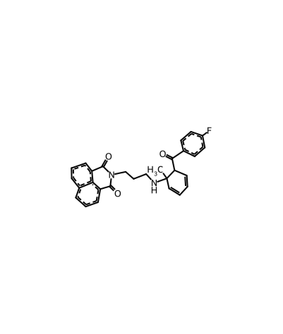 CC1(NCCCN2C(=O)c3cccc4cccc(c34)C2=O)C=CC=CC1C(=O)c1ccc(F)cc1